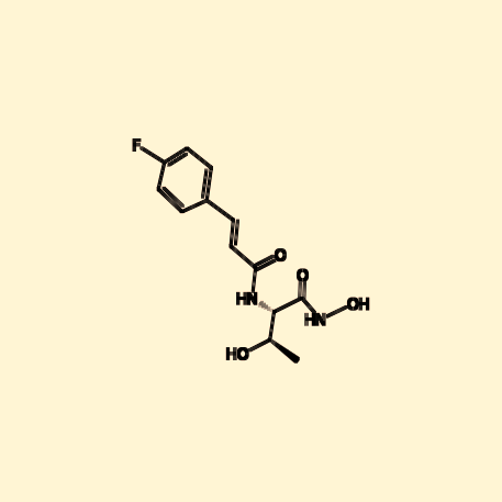 C[C@@H](O)[C@H](NC(=O)C=Cc1ccc(F)cc1)C(=O)NO